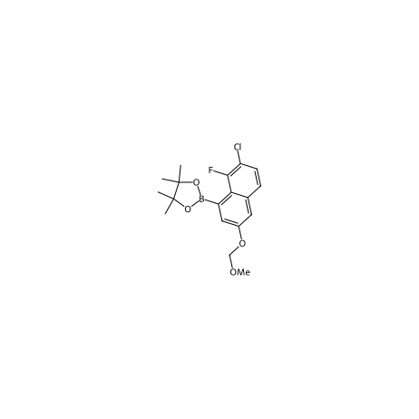 COCOc1cc(B2OC(C)(C)C(C)(C)O2)c2c(F)c(Cl)ccc2c1